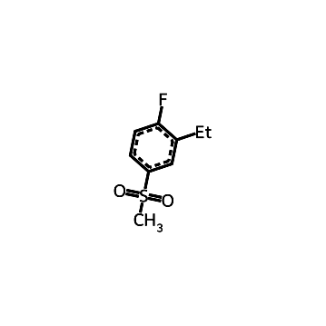 CCc1cc(S(C)(=O)=O)ccc1F